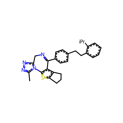 Cc1nnc2n1-c1sc3c(c1C(c1ccc(CCc4ccccc4C(C)C)cc1)=NC2)CCC3